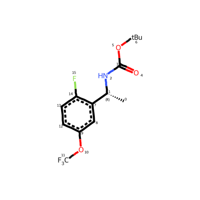 C[C@@H](NC(=O)OC(C)(C)C)c1cc(OC(F)(F)F)ccc1F